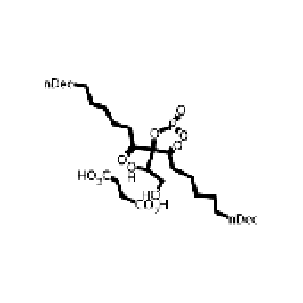 CCCCCCCCCCCCCCCC(=O)C(OP(=O)=O)(C(=O)CCCCCCCCCCCCCCC)C(O)CO.O=C(O)CCC(=O)O